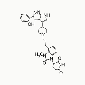 Cn1c(=O)n(C2CCC(=O)NC2=O)c2cccc(CCCN3CCC(c4c[nH]c5nnc(-c6ccccc6O)cc45)CC3)c21